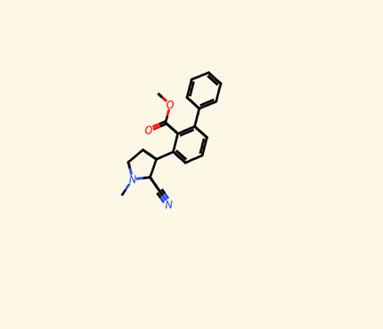 COC(=O)c1c(-c2ccccc2)cccc1C1CCN(C)C1C#N